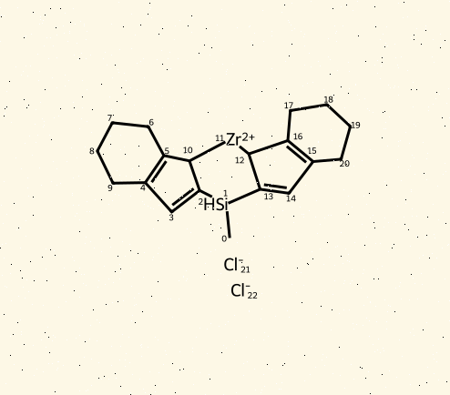 C[SiH]1C2=CC3=C(CCCC3)[CH]2[Zr+2][CH]2C1=CC1=C2CCCC1.[Cl-].[Cl-]